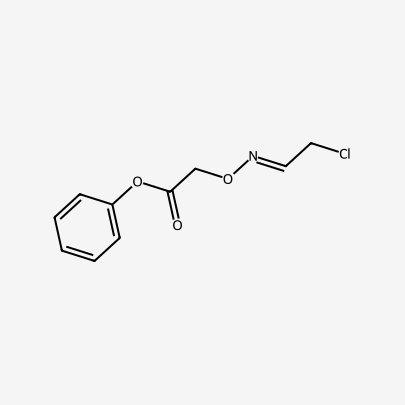 O=C(CO/N=C/CCl)Oc1ccccc1